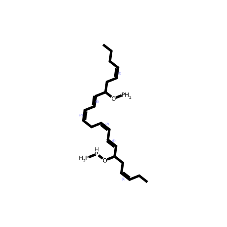 CC/C=C\CC(/C=C/C=C\C/C=C\C=C\C(C/C=C\CCC)OP)OPP